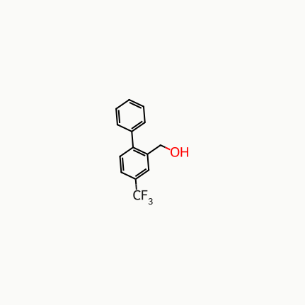 OCc1cc(C(F)(F)F)ccc1-c1ccccc1